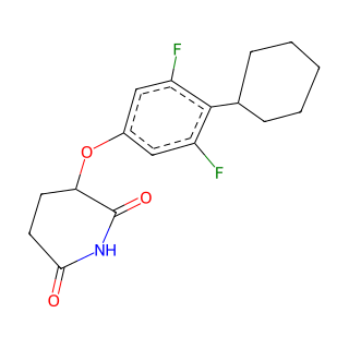 O=C1CCC(Oc2cc(F)c(C3CCCCC3)c(F)c2)C(=O)N1